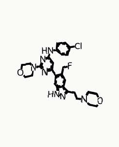 FCc1cc2c(CCN3CCOCC3)n[nH]c2cc1-c1cc(Nc2ccc(Cl)cc2)nc(N2CCOCC2)n1